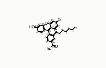 CCCCCCC(=O)c1cc(C(=O)O)ccc1-c1c2ccc(=O)cc-2oc2cc(O)ccc12